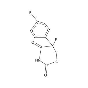 O=C1NC(=O)C(F)(c2ccc(F)cc2)CO1